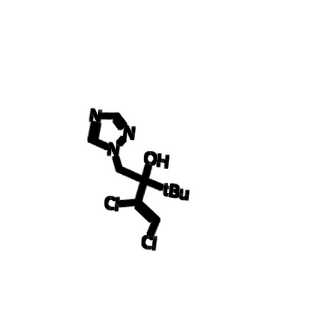 CC(C)(C)C(O)(Cn1cncn1)C(Cl)=CCl